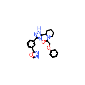 O=C(COc1ccccc1)N1CCCCC1c1nc(-c2cccc(-c3nnco3)c2)n[nH]1